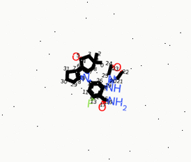 CC1(C)CC(=O)c2c3c(n(-c4cc(F)c(C(N)=O)c(NN5CCOCC5)c4)c2C1)CCC3